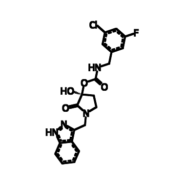 O=C(NCc1cc(F)cc(Cl)c1)O[C@@]1(O)CCN(Cc2n[nH]c3ccccc23)C1=O